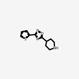 c1csc(-c2noc(C3CCNCC3)n2)c1